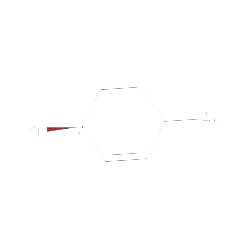 CC(=O)C1C=C[C@@H](Br)CC1